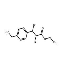 CCOC(=O)C(Br)C(Br)c1ccc(CC)cc1